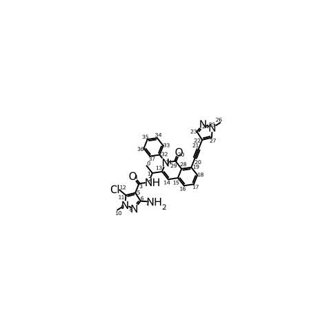 CC(NC(=O)c1c(N)nn(C)c1Cl)c1cc2cccc(C#Cc3cnn(C)c3)c2c(=O)n1-c1ccccc1